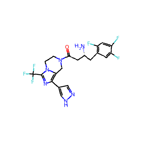 N[C@@H](CC(=O)N1CCn2c(C(F)(F)F)nc(-c3cn[nH]c3)c2C1)Cc1cc(F)c(F)cc1F